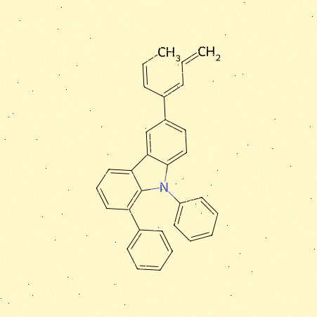 C=C/C=C(\C=C/C)c1ccc2c(c1)c1cccc(-c3ccccc3)c1n2-c1ccccc1